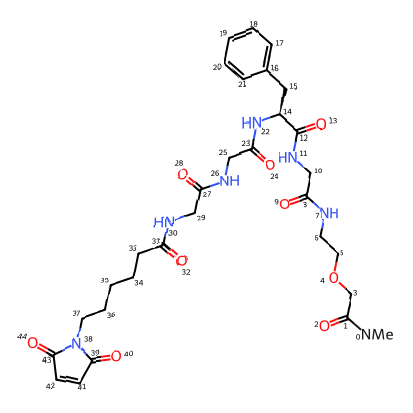 CNC(=O)COCCNC(=O)CNC(=O)[C@H](Cc1ccccc1)NC(=O)CNC(=O)CNC(=O)CCCCCN1C(=O)C=CC1=O